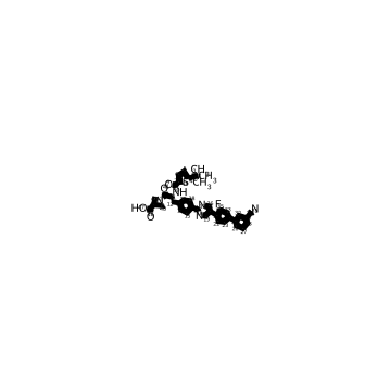 CC(C)(C)c1ccc(C(=O)N[C@@H](Cc2ccc(-c3ncc(-c4ccc(-c5cccc(C#N)c5)cc4F)cn3)cc2)C(=O)N2CC(C(=O)O)C2)s1